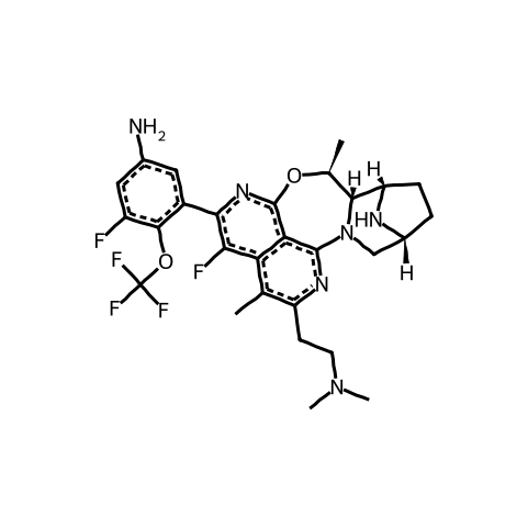 Cc1c(CCN(C)C)nc2c3c(nc(-c4cc(N)cc(F)c4OC(F)(F)F)c(F)c13)O[C@@H](C)[C@@H]1[C@@H]3CC[C@H](CN21)N3